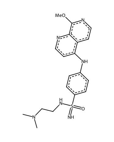 COc1nccc2c(Nc3ccc(S(=N)(=O)NCCN(C)C)cc3)ccnc12